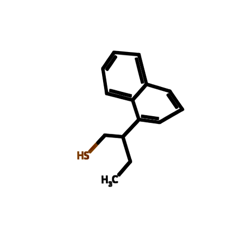 CCC(CS)c1cccc2ccccc12